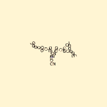 C=CC(=O)OCOc1ccc(OC(=O)C2CCC(C(=O)Oc3ccc(OC(=O)C4CCC(C(=O)Oc5ccc(OCOC(=O)C=C)c(OCOC(=O)C=C)c5)CC4)c4nc(/N=N/c5ccc(C#N)cc5)sc34)CC2)cc1